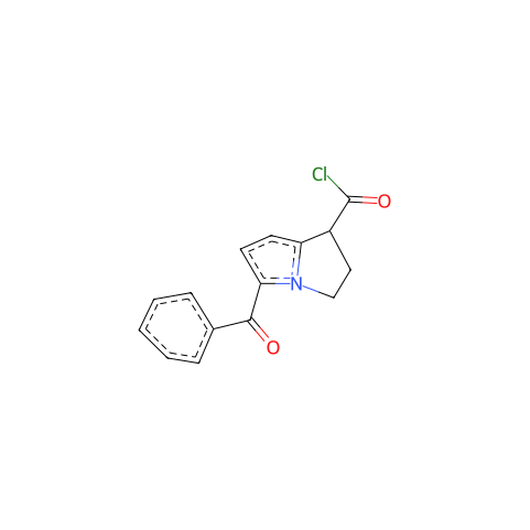 O=C(c1ccccc1)c1ccc2n1CCC2C(=O)Cl